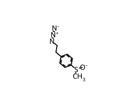 C[S+]([O-])c1ccc(CCN=[N+]=[N-])cc1